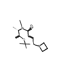 C=C(OC(C)(C)C)[C@H](C)N(C)C(=O)/C=C/CN1CCC1